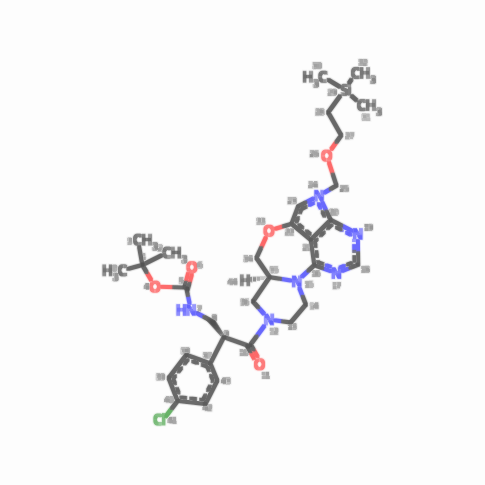 CC(C)(C)OC(=O)NC[C@@H](C(=O)N1CCN2c3ncnc4c3c(cn4COCC[Si](C)(C)C)OC[C@@H]2C1)c1ccc(Cl)cc1